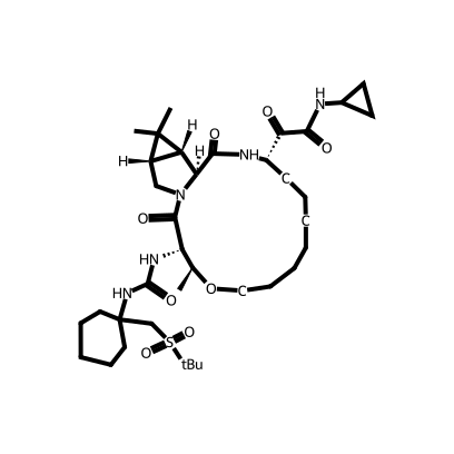 C[C@@H]1OCCCCCCC[C@@H](C(=O)C(=O)NC2CC2)NC(=O)[C@@H]2[C@@H]3[C@H](CN2C(=O)[C@H]1NC(=O)NC1(CS(=O)(=O)C(C)(C)C)CCCCC1)C3(C)C